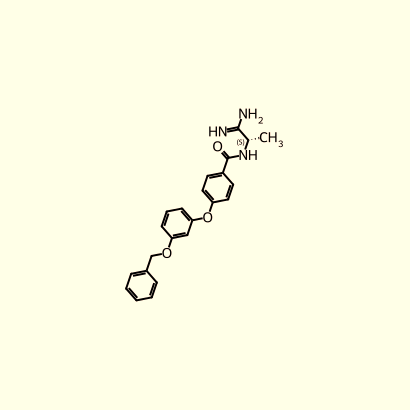 C[C@H](NC(=O)c1ccc(Oc2cccc(OCc3ccccc3)c2)cc1)C(=N)N